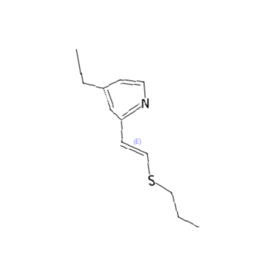 CCCS/C=C/c1cc(CC)ccn1